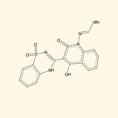 CCCCC=Nn1c(=O)c(C2=NS(=O)(=O)c3ccccc3N2)c(O)c2ccccc21